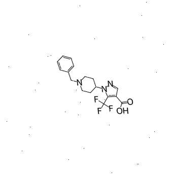 O=C(O)c1cnn(C2CCN(Cc3ccccc3)CC2)c1C(F)(F)F